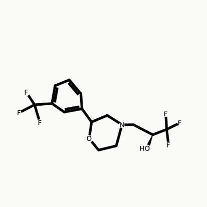 O[C@@H](CN1CCOC(c2cccc(C(F)(F)F)c2)C1)C(F)(F)F